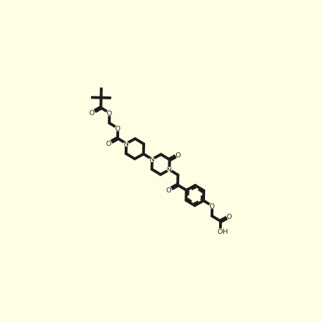 CC(C)(C)C(=O)OCOC(=O)N1CCC(N2CCN(CC(=O)c3ccc(OCC(=O)O)cc3)C(=O)C2)CC1